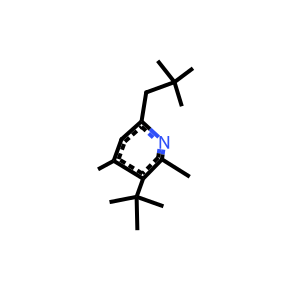 Cc1cc(CC(C)(C)C)nc(C)c1C(C)(C)C